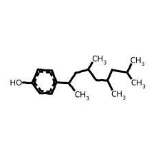 CC(C)CC(C)CC(C)CC(C)c1ccc(O)cc1